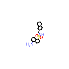 Nc1cccc2c(S(=O)(=O)NCc3ccc4ccccc4c3)cccc12